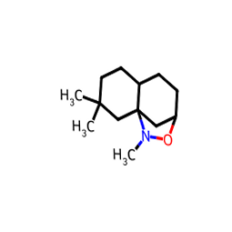 CN1OC2CCC3CCC(C)(C)CC31C2